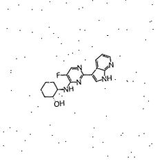 O[C@@H]1CCCC[C@H]1Nc1nc(-c2c[nH]c3ncccc23)ncc1F